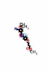 CCOC(=O)CCCCOc1ccc(-c2noc(-c3ccc(OC(C)C)c(C#N)c3)n2)c(F)c1